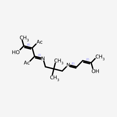 CC(=O)C(=N\CC(C)(C)C/N=C/C=C(/C)O)/C(C(C)=O)=C(/C)O